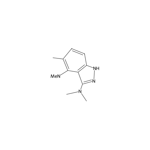 CNc1c(C)ccc2[nH]nc(N(C)C)c12